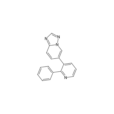 c1ccc(-c2ncccc2-c2ccc3ncnn3c2)cc1